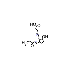 CCC(=O)/C=C/C1CCC(O)C1C/C=C/CCC(=O)O